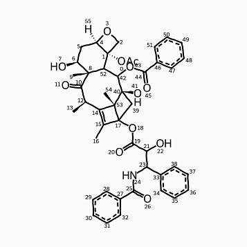 CC(=O)O[C@@]12CO[C@@H]1C[C@H](O)[C@@]1(C)C(=O)[C@H](C)C3=C(C)C4(OC(=O)C(O)C(NC(=O)c5ccccc5)c5ccccc5)C[C@@](O)(C(OC(=O)c5ccccc5)C12)[C@@]34C